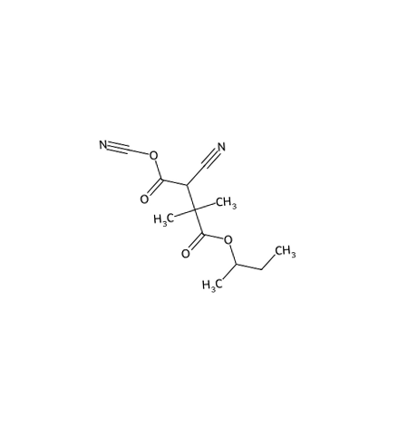 CCC(C)OC(=O)C(C)(C)C(C#N)C(=O)OC#N